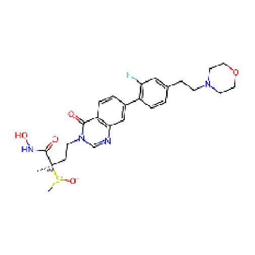 C[S+]([O-])[C@](C)(CCn1cnc2cc(-c3ccc(CCN4CCOCC4)cc3F)ccc2c1=O)C(=O)NO